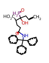 C=CCC(O)([PH2]=O)C(CCC(=O)NC(c1ccccc1)(c1ccccc1)c1ccccc1)C(=O)O